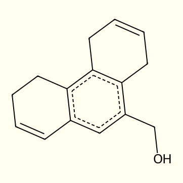 OCc1cc2c(c3c1CC=CC3)CCC=C2